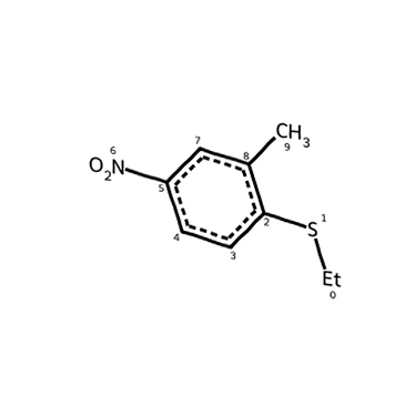 CCSc1ccc([N+](=O)[O-])cc1C